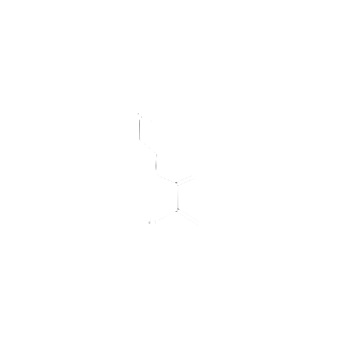 C=C(CCC)C(=O)OCCN